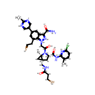 Cc1ncc(-c2cc(CC=S)c3c(c2)c(C(N)=O)nn3CC(=O)N2[C@H](C(=O)Nc3nc(Br)ccc3C)C[C@@]3(CNC(=O)CCS)C[C@@H]23)cn1